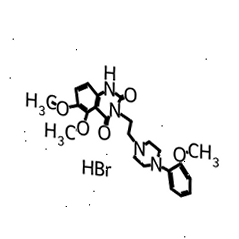 Br.COc1ccccc1N1CCN(CCn2c(=O)[nH]c3ccc(OC)c(OC)c3c2=O)CC1